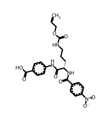 C=CCOC(=O)NCCC[C@H](NC(=O)c1ccc([N+](=O)[O-])cc1)C(=O)Nc1ccc(C(=O)O)cc1